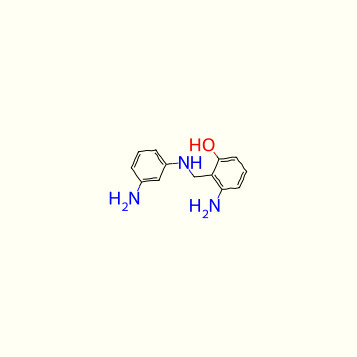 Nc1cccc(NCc2c(N)cccc2O)c1